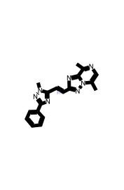 Cc1ncc(C)n2nc(/C=C/c3nc(-c4ccccc4)nn3C)nc12